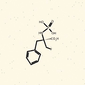 O=C(O)[C@](CF)(Cc1ccccc1)NP(=O)(O)O